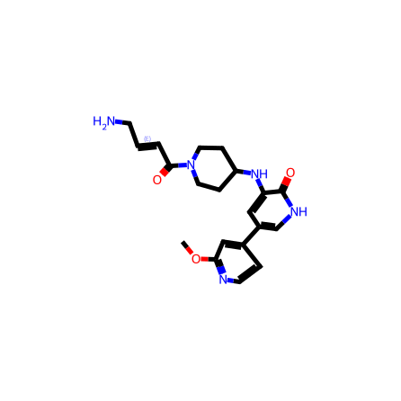 COc1cc(-c2c[nH]c(=O)c(NC3CCN(C(=O)/C=C/CN)CC3)c2)ccn1